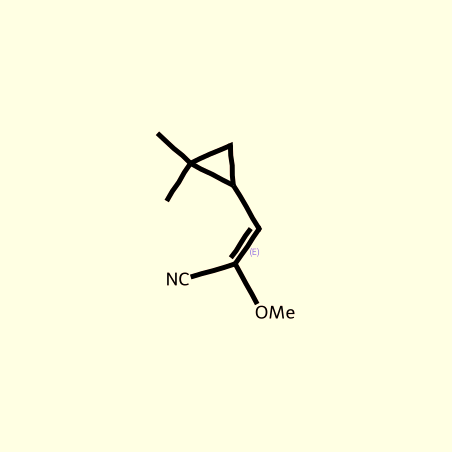 CO/C(C#N)=C/C1CC1(C)C